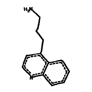 NCCCc1ccnc2ccccc12